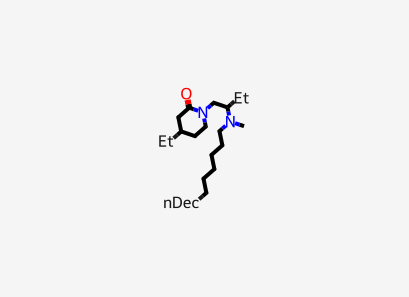 CCCCCCCCCCCCCCCCN(C)C(CC)CN1CCC(CC)CC1=O